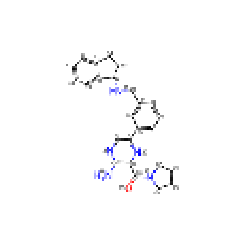 Nc1ncc(-c2cccc(CN[C@H]3CCc4ccccc43)c2)nc1C(=O)N1CCCC1